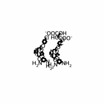 Nc1ccc(OC(C[n+]2ccn(CC(=O)COc3ccc(Cl)cc3)c2)c2cccs2)c(N)c1.Nc1ccc(OC(C[n+]2ccn(CC(=O)COc3ccc(Cl)cc3)c2)c2cccs2)c(N)c1.O=C([O-])C(O)C(O)C(=O)[O-]